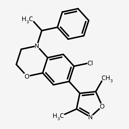 Cc1noc(C)c1-c1cc2c(cc1Cl)N(C(C)c1ccccc1)CCO2